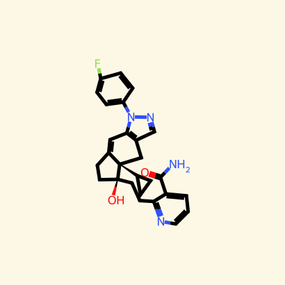 NC(=O)c1cccnc1CC[C@]1(O)CCC2=Cc3c(cnn3-c3ccc(F)cc3)C[C@@]21C1CC1